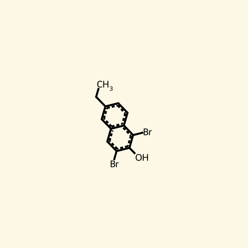 CCc1ccc2c(Br)c(O)c(Br)cc2c1